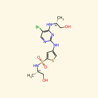 C[C@H](CO)Nc1nc(Nc2csc(S(=O)(=O)N[C@@H](C)CO)c2)ncc1Br